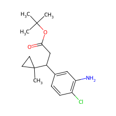 CC(C)(C)OC(=O)CC(c1ccc(Cl)c(N)c1)C1(C)CC1